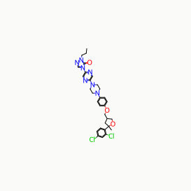 CCCn1ncn(-c2cnc(N3CCN(c4ccc(OCC5COC(C)(c6ccc(Cl)cc6Cl)C5)cc4)CC3)cn2)c1=O